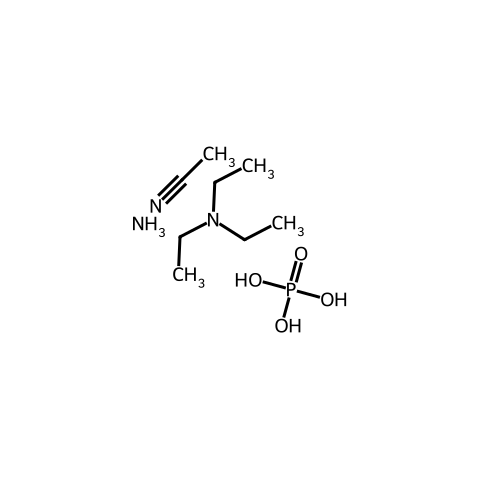 CC#N.CCN(CC)CC.N.O=P(O)(O)O